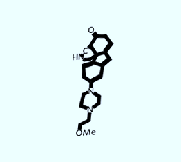 COCCN1CCN(C2=CC3=CC4=CCC(=O)C5CNCCC45C3=CC2)CC1